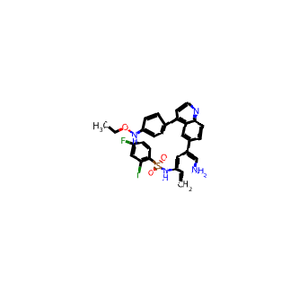 C=C/C(=C\C(=C/N)c1ccc2nccc(-c3ccc(NOCC)cc3)c2c1)NS(=O)(=O)c1ccc(F)cc1F